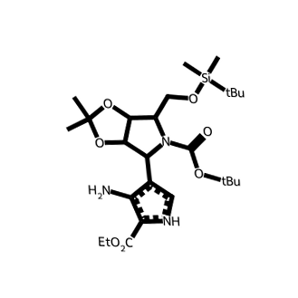 CCOC(=O)c1[nH]cc(C2C3OC(C)(C)OC3C(CO[Si](C)(C)C(C)(C)C)N2C(=O)OC(C)(C)C)c1N